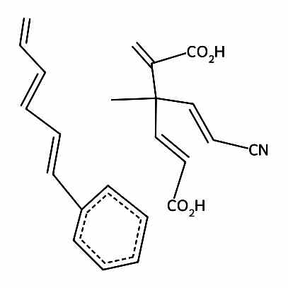 C=C(C(=O)O)C(C)(C=CC#N)C=CC(=O)O.C=CC=CC=Cc1ccccc1